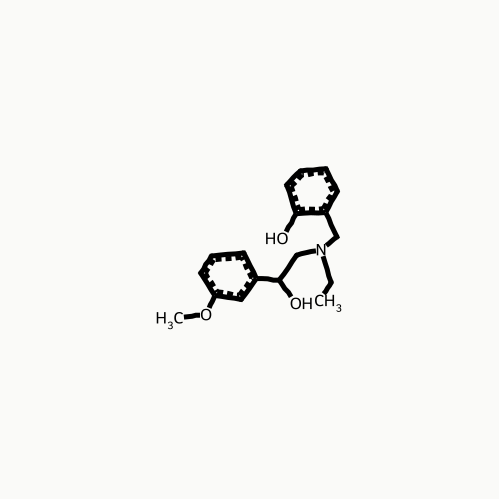 CCN(Cc1ccccc1O)CC(O)c1cccc(OC)c1